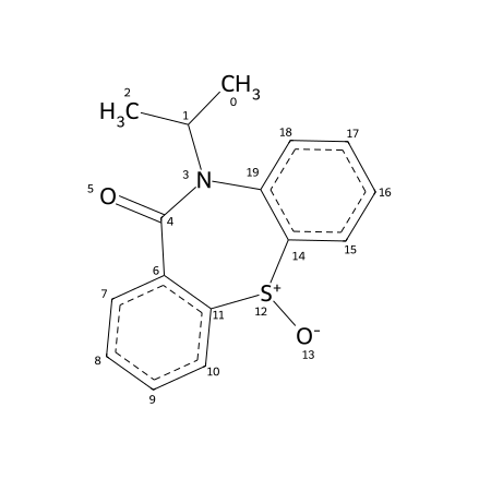 CC(C)N1C(=O)c2ccccc2[S+]([O-])c2ccccc21